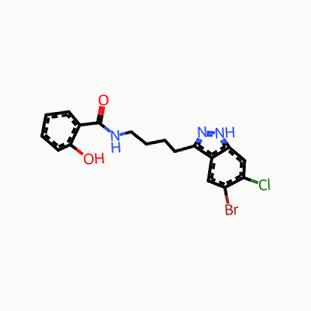 O=C(NCCCCc1n[nH]c2cc(Cl)c(Br)cc12)c1ccccc1O